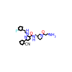 N#Cc1ccccc1-c1ccc(C(=O)NC[C@@H]2CCCN(C(=O)CCN)C2)c(NCCc2cccc(F)c2)n1